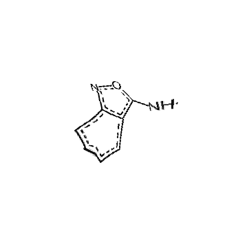 [NH]c1onc2ccccc12